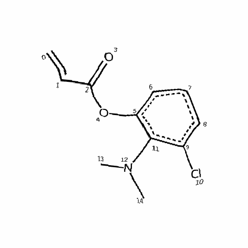 C=CC(=O)Oc1cccc(Cl)c1N(C)C